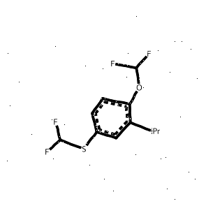 CC(C)c1cc(SC(F)F)ccc1OC(F)F